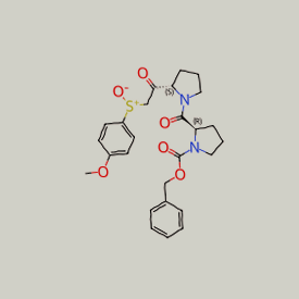 COc1ccc([S+]([O-])CC(=O)[C@@H]2CCCN2C(=O)[C@H]2CCCN2C(=O)OCc2ccccc2)cc1